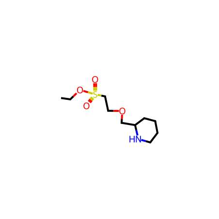 CCOS(=O)(=O)CCOCC1CCCCN1